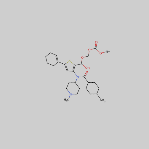 CC1CCC(C(=O)N(c2cc(C3=CCCCC3)sc2C(O)OCOC(=O)OC(C)C)C2CCN(C)CC2)CC1